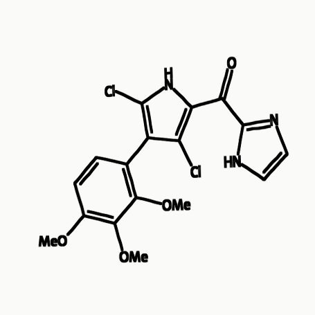 COc1ccc(-c2c(Cl)[nH]c(C(=O)c3ncc[nH]3)c2Cl)c(OC)c1OC